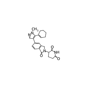 Cn1ncc(-c2ccc3c(c2)CN(C2CCC(=O)NC2=O)C3=O)c1C1=CCCCC1